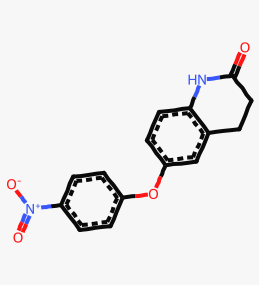 O=C1CCc2cc(Oc3ccc([N+](=O)[O-])cc3)ccc2N1